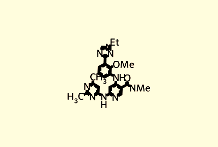 CCn1cnc(-c2cccc(Nc3cc(Nc4cc(C)nc(C)n4)ncc3C(=O)NC)c2OC)n1